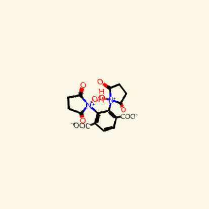 O=C([O-])c1ccc(C(=O)[O-])c([N+]2(O)C(=O)CCC2=O)c1[N+]1(O)C(=O)CCC1=O